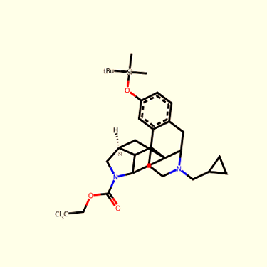 CC(C)(C)[Si](C)(C)Oc1ccc2c(c1)C13CCN(CC4CC4)C(C2)C12CCC1C3[C@@H](CN1C(=O)OCC(Cl)(Cl)Cl)C2